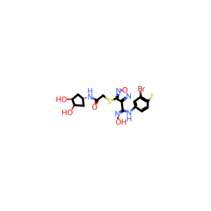 O=C(CSc1nonc1/C(=N/O)Nc1ccc(F)c(Br)c1)N[C@@H]1C[C@@H](O)[C@@H](O)C1